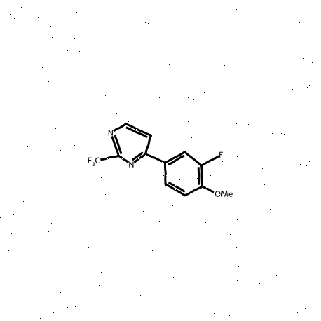 COc1ccc(-c2ccnc(C(F)(F)F)n2)cc1F